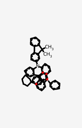 CC1(C)c2ccccc2-c2ccc(N(c3ccccc3-c3cccc4cccc(C5CCCCC5)c34)c3cccc4c3c3ccccc3n4-c3ccccc3)cc21